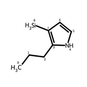 CCCc1[nH]ccc1[SiH3]